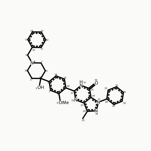 COc1cc(C2(O)CCN(Cc3ccccc3)CC2)ccc1-c1nc2c(C)nn(-c3ccccc3)c2c(=O)[nH]1